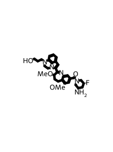 COc1cc(C(=O)N2C[C@H](N)C[C@@H](F)C2)cc2c1CCC(OC)C(c1cc3cccc4c3n1CCN4CCCO)=N2